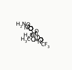 CC1CCN(c2nc(C(F)(F)F)ccc2CNC(=O)C(C)c2ccc3oc(N)nc3c2)CC1